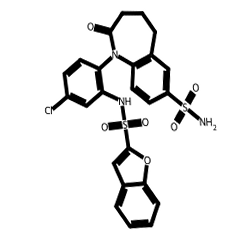 NS(=O)(=O)c1ccc2c(c1)CCCC(=O)N2c1ccc(Cl)cc1NS(=O)(=O)c1cc2ccccc2o1